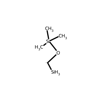 C[Si](C)(C)O[CH][SiH3]